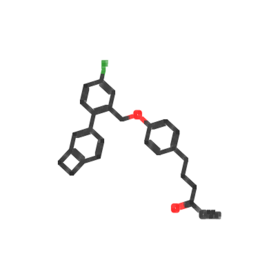 COC(=O)CCCc1ccc(OCc2cc(F)ccc2-c2ccc3c(c2)CC3)cc1